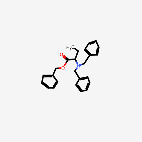 CCC(C(=O)OCc1ccccc1)N(Cc1ccccc1)Cc1ccccc1